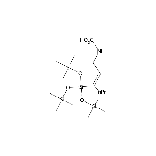 CCCC(=CCNC(=O)O)[Si](O[Si](C)(C)C)(O[Si](C)(C)C)O[Si](C)(C)C